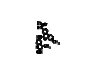 CC[S+]([O-])Nc1ccc(N2CCN(C)CC2)c(C(=O)Nc2ccc3nc(O)cc(C)c3c2)c1